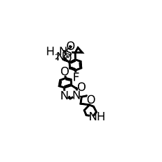 N#Cc1c(C2(S(N)(=O)=O)CC2)ccc(F)c1Oc1ccc2ncn([C@H]3COC4(CCNCC4)C3)c(=O)c2c1